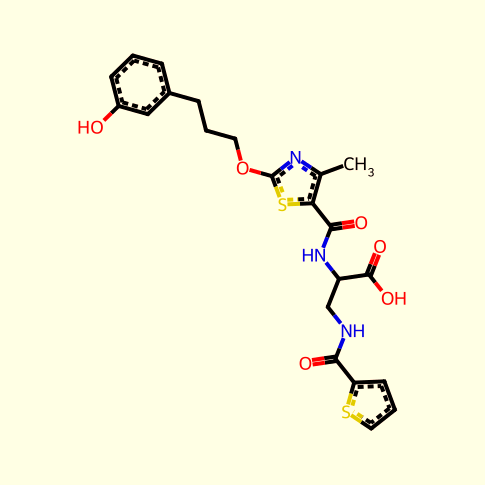 Cc1nc(OCCCc2cccc(O)c2)sc1C(=O)NC(CNC(=O)c1cccs1)C(=O)O